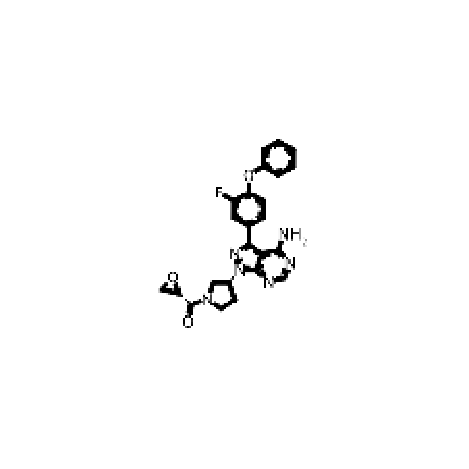 Nc1ncnc2c1c(-c1ccc(Oc3ccccc3)c(F)c1)nn2[C@@H]1CCN(C(=O)[C@@H]2CO2)C1